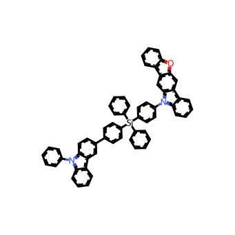 c1ccc(-n2c3ccccc3c3cc(-c4ccc([Si](c5ccccc5)(c5ccccc5)c5ccc(-n6c7ccccc7c7cc8oc9ccccc9c8cc76)cc5)cc4)ccc32)cc1